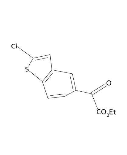 CCOC(=O)C(=O)c1ccc2sc(Cl)cc2c1